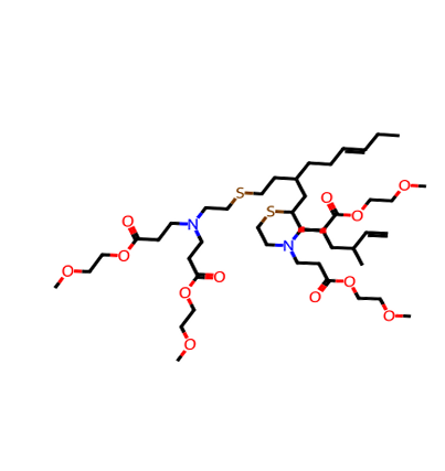 C=CC(C)CCCC(CC(CC/C=C/CC)CCSCCN(CCC(=O)OCCOC)CCC(=O)OCCOC)SCCN(CCC(=O)OCCOC)CCC(=O)OCCOC